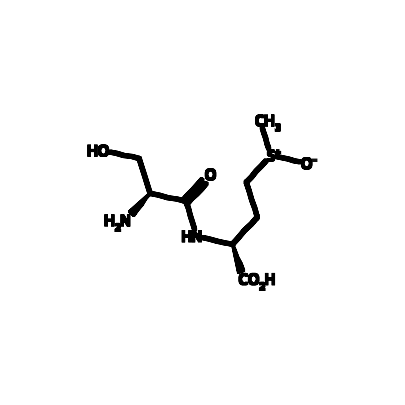 C[S+]([O-])CC[C@H](NC(=O)[C@@H](N)CO)C(=O)O